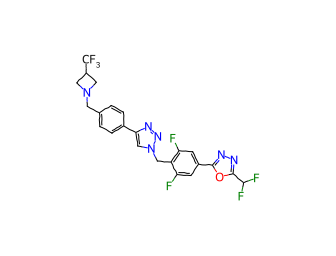 Fc1cc(-c2nnc(C(F)F)o2)cc(F)c1Cn1cc(-c2ccc(CN3CC(C(F)(F)F)C3)cc2)nn1